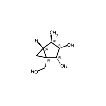 C[C@H]1[C@H](O)[C@H](O)[C@@]2(CO)C[C@H]12